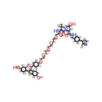 COc1ccc2c(C(=O)c3ccc(OCCOCCOCCOCCOCC(=O)N[C@H](C(=O)N4C[C@H](O)C[C@H]4C(=O)NCc4ccc(-c5scnc5C)cc4)C(C)(C)C)cc3)c(-c3ccc(O)cc3)sc2c1